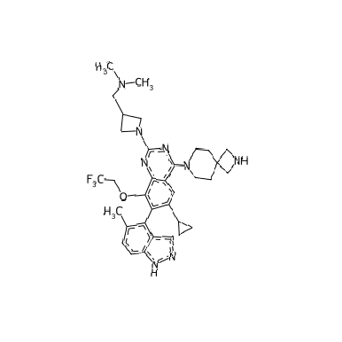 Cc1ccc2[nH]ncc2c1-c1c(C2CC2)cc2c(N3CCC4(CC3)CNC4)nc(N3CC(CN(C)C)C3)nc2c1OCC(F)(F)F